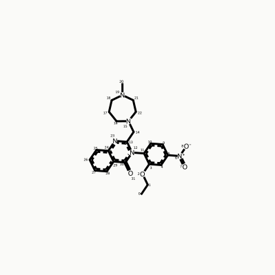 CCOc1cc([N+](=O)[O-])ccc1-n1c(CN2CCCN(C)CC2)nc2ccccc2c1=O